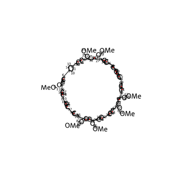 COCOC12CCC(CC1)c1ccc(cc1)-c1ccc(cc1)C1(OCOC)CCC(OCOC)(CC1)c1ccc(cc1)-c1ccc3cc(ccc3c1)-c1ccc(cc1)C1(OCOC)CCC(OCOC)(CC1)c1ccc(cc1)-c1ccc(cc1)C1(OCOC)CCC(OCOC)(CC1)c1ccc(cc1)-c1ccc(cc1)-c1ccc2cc1